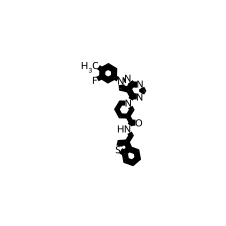 Cc1ccc(-n2cc3c(N4CCCC(C(=O)NCc5csc6ccccc56)C4)ncnc3n2)cc1F